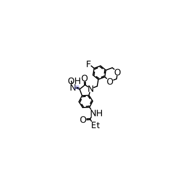 CCC(=O)Nc1ccc2c(c1)N(Cc1cc(F)cc3c1OCOC3)C(=O)/C2=N\O